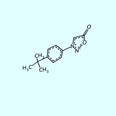 CC(C)(C)c1ccc(-[n+]2cc(=O)o[n-]2)cc1